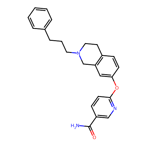 NC(=O)c1ccc(Oc2ccc3c(c2)CN(CCCc2ccccc2)CC3)nc1